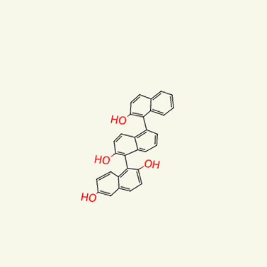 Oc1ccc2c(-c3c(O)ccc4c(-c5c(O)ccc6ccccc56)cccc34)c(O)ccc2c1